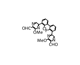 COc1nc(-c2cccc(-c3cccc(-c4cnc(C=O)c(OC)n4)c3Cl)c2F)cnc1C=O